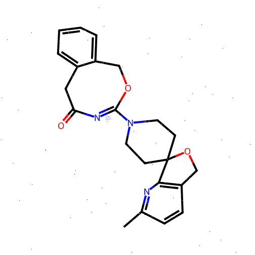 Cc1ccc2c(n1)C1(CCN(/C3=N/C(=O)Cc4ccccc4CO3)CC1)OC2